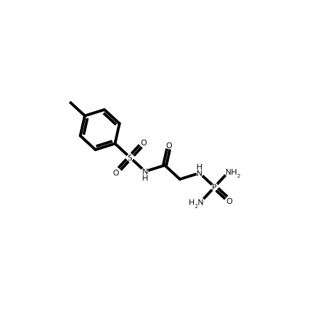 Cc1ccc(S(=O)(=O)NC(=O)CNP(N)(N)=O)cc1